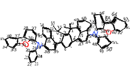 CC1(C)c2c(ccc3c2C(C)(C)c2cccc4c(N(c5ccccc5)c5cccc6c5oc5ccccc56)ccc-3c24)-c2ccc(N(c3ccccc3)c3cccc4c3oc3ccccc34)c3cccc1c23